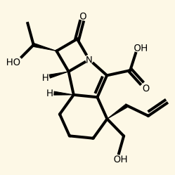 C=CC[C@@]1(CO)CCC[C@H]2C1=C(C(=O)O)N1C(=O)[C@H](C(C)O)[C@@H]21